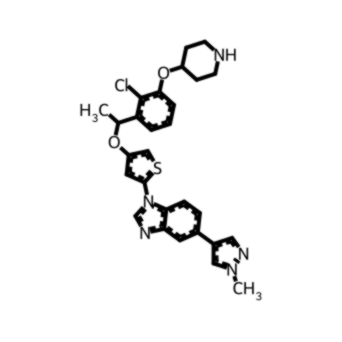 CC(Oc1csc(-n2cnc3cc(-c4cnn(C)c4)ccc32)c1)c1cccc(OC2CCNCC2)c1Cl